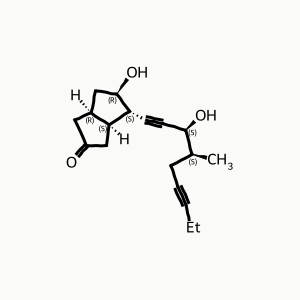 CCC#CC[C@H](C)[C@H](O)C#C[C@@H]1[C@H]2CC(=O)C[C@H]2C[C@H]1O